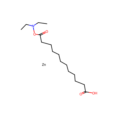 CCN(CC)OC(=O)CCCCCCCCCCC(=O)O.[Zn]